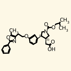 Cc1oc(-c2ccccc2)nc1CCOc1cccc([C@H]2CN(C(=O)OCC(C)C)C[C@H]2CC(=O)O)c1